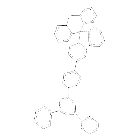 c1ccc(-c2nc(-c3ccccc3)nc(-c3ccc(-c4ccc(C5(c6ccccc6)c6ccccc6Sc6ccccc65)cc4)cc3)n2)cc1